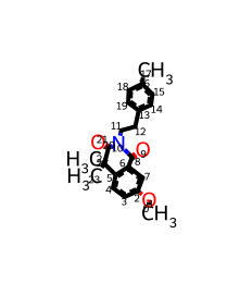 COc1ccc2c(c1)C(=O)N(CCc1ccc(C)cc1)C(=O)C2(C)C